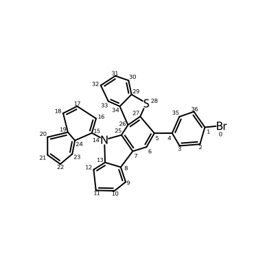 Brc1ccc(-c2cc3c4ccccc4n(-c4cccc5ccccc45)c3c3c2sc2ccccc23)cc1